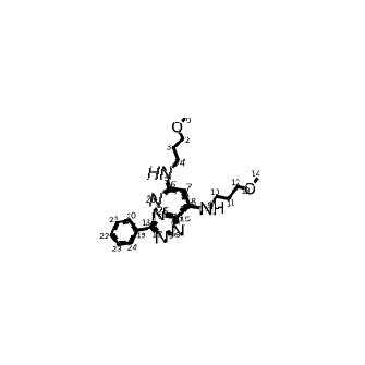 COCCCNc1cc(NCCCOC)c2nnc(-c3ccccc3)n2n1